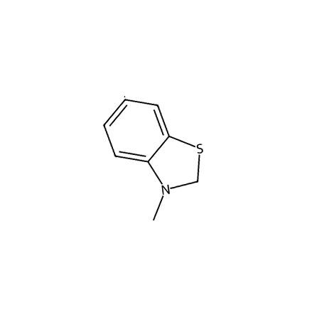 CN1CSc2c[c]ccc21